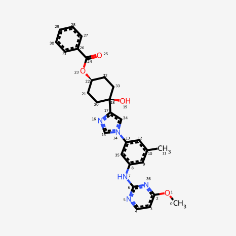 COc1ccnc(Nc2cc(C)cc(-n3cnc([C@]4(O)CC[C@@H](OC(=O)c5ccccc5)CC4)c3)c2)n1